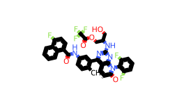 Cc1ccc(NC(=O)c2ccc(F)c3ccccc23)cc1-c1nc(NC(CO)COC(=O)C(F)(F)F)nc2c1ccc(=O)n2-c1c(F)cccc1F